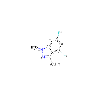 Cn1nc(C(=O)O)c2c(F)cc(F)cc21